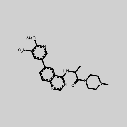 COc1ncc(-c2ccc3ncnc(NC(C)C(=O)N4CCN(C)CC4)c3c2)cc1[N+](=O)[O-]